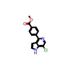 COC(=O)c1ccc(-c2ncc(Cl)c3[nH]ccc23)cc1